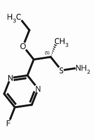 CCOC(c1ncc(F)cn1)[C@H](C)SN